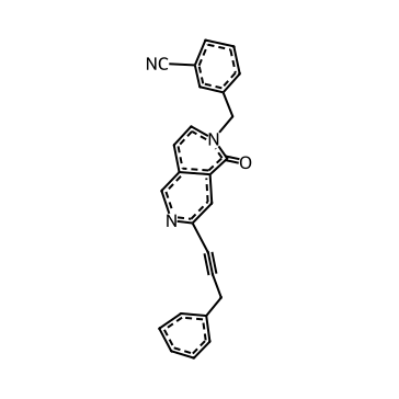 N#Cc1cccc(Cn2ccc3cnc(C#CCc4ccccc4)cc3c2=O)c1